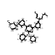 CC=CC(C/C=C\C)c1cccc(-c2nc(-c3cccc(C(/C=C\C)=C/CC)c3)nc(N(c3ccccc3)c3ccccc3)n2)c1